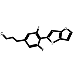 CCCCc1cc(F)c(-c2cc3sccc3s2)c(F)c1